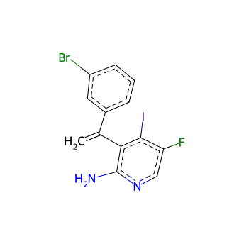 C=C(c1cccc(Br)c1)c1c(N)ncc(F)c1I